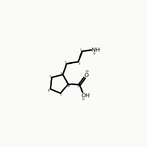 [NH]CCCC1CCCC1C(=O)O